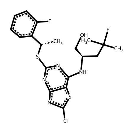 C[C@H](Sc1nc(N[C@@H](CO)CC(C)(C)F)c2sc(Cl)nc2n1)c1ccccc1F